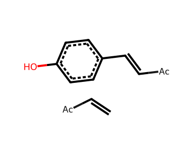 C=CC(C)=O.CC(=O)/C=C/c1ccc(O)cc1